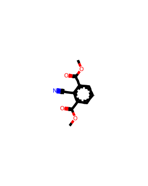 COC(=O)c1c[c]cc(C(=O)OC)c1C#N